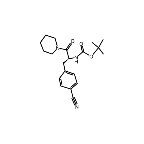 CC(C)(C)OC(=O)N[C@@H](Cc1ccc(C#N)cc1)C(=O)N1CCCCC1